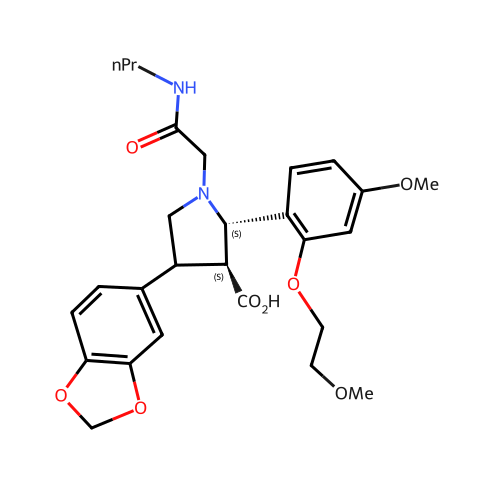 CCCNC(=O)CN1CC(c2ccc3c(c2)OCO3)[C@H](C(=O)O)[C@H]1c1ccc(OC)cc1OCCOC